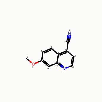 COc1ccc2c(C#N)ccnc2c1